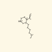 COCCCCC1CNCCN1[C]=O